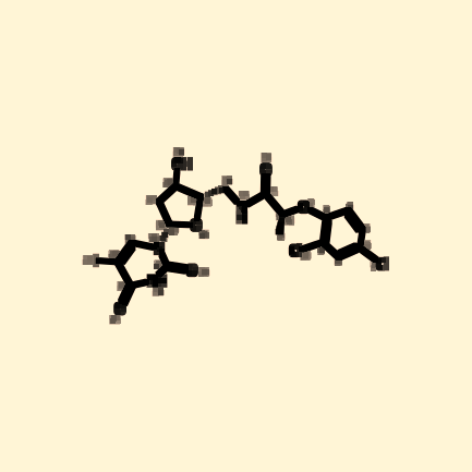 C[C@H](Oc1ccc(Cl)cc1Cl)C(=O)NC[C@@H]1O[C@H](n2cc(I)c(=O)[nH]c2=O)CC1O